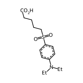 CCN(CC)c1ccc(S(=O)(=O)CCCCC(=O)O)cc1